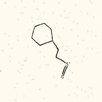 O=[S+]CCC1CCCCC1